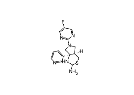 NC1N[C@@]2(c3cccnc3)CN(c3ncc(F)cn3)C[C@H]2CS1